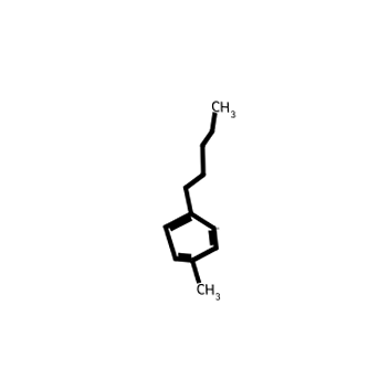 CCCCCc1[c]cc(C)cc1